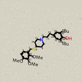 COc1ccc(CSC2CCN(CCCc3cc(C(C)(C)C)c(O)c(C(C)(C)C)c3)CC2)c(OC)c1OC